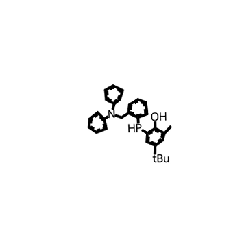 Cc1cc(C(C)(C)C)cc(Pc2ccccc2CN(c2ccccc2)c2ccccc2)c1O